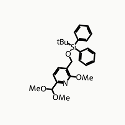 COc1nc(C(OC)OC)ccc1CO[Si](c1ccccc1)(c1ccccc1)C(C)(C)C